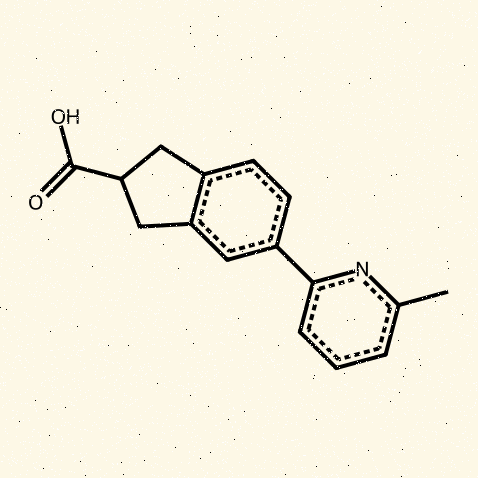 Cc1cccc(-c2ccc3c(c2)CC(C(=O)O)C3)n1